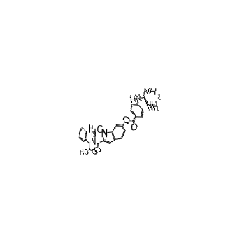 Cn1c(C(=O)N[C@H](C(=O)O)c2ccccc2)cc2ccc(OC(=O)c3ccc(NC(=N)N)cc3)cc21